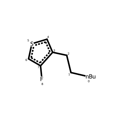 CCCCCCc1cscc1F